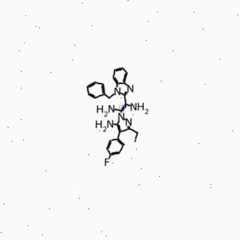 CCc1nn(/C(N)=C(\N)c2nc3ccccc3n2Cc2ccccc2)c(N)c1-c1ccc(F)cc1